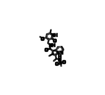 COc1cc(C)[nH]c(=O)c1CNC(=O)c1c(C)c(C(C)NS(C)(=O)=O)n2ncccc12